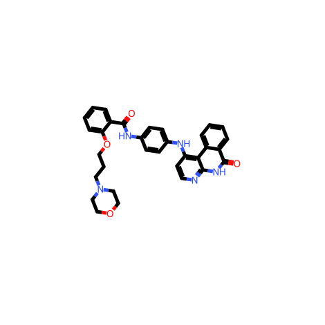 O=C(Nc1ccc(Nc2ccnc3[nH]c(=O)c4ccccc4c23)cc1)c1ccccc1OCCCN1CCOCC1